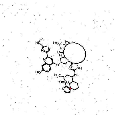 CC(C)Nc1nc(-c2cc(O[C@@H]3C[C@H]4C(=O)N[C@]5(C(=O)O)CC5CCCCCCC[C@H](NC(=O)NC(CN(C)S(=O)(=O)c5cccs5)C5CCCCC5)C(=O)N4C3)c3ccc(O)cc3n2)cs1